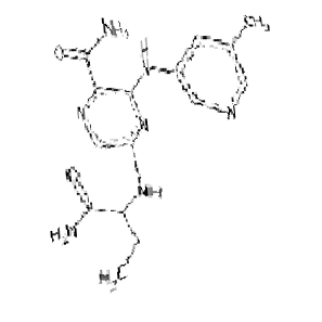 CCC(Nc1cnc(C(N)=O)c(Nc2cncc(C)c2)n1)C(N)=O